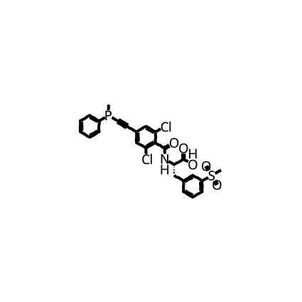 CP(C#Cc1cc(Cl)c(C(=O)N[C@@H](Cc2cccc(S(C)(=O)=O)c2)C(=O)O)c(Cl)c1)c1ccccc1